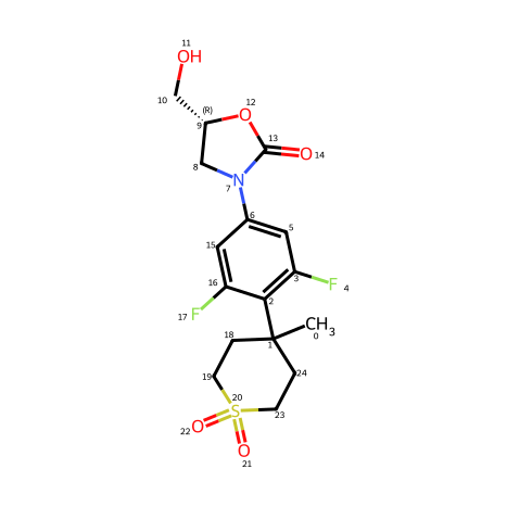 CC1(c2c(F)cc(N3C[C@H](CO)OC3=O)cc2F)CCS(=O)(=O)CC1